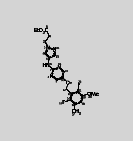 CCOC(=O)CCn1cc(Nc2ncc(OCc3c(F)c(C)cc(OC)c3F)cn2)cn1